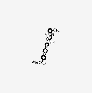 COC(=O)c1ccc(N2CCC(N3CC[C@@H](NC(=O)Cc4nc5c(C(F)(F)F)cccc5[nH]4)C3)CC2)cc1